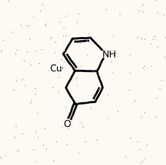 O=C1C=CC2NC=CC=C2C1.[Cu]